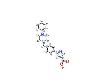 COC(=O)c1cnn(-c2ccc(CN3CCN(c4ccccc4)CC3)cc2)c1